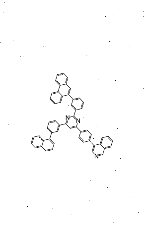 c1cc(-c2cc(-c3ccc(-c4cncc5ccccc45)cc3)nc(-c3cccc(-c4cc5ccccc5c5ccccc45)c3)n2)cc(-c2cccc3ccccc23)c1